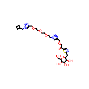 O=C(COCc1cn(CCOCCOCCOCc2cn(CC3CCC3)nn2)nn1)c1cnc(CC2OC(CO)C(O)C(O)C2O)s1